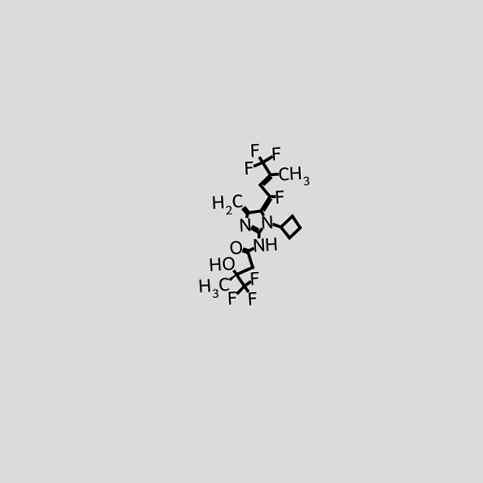 C=c1nc(NC(=O)C[C@@](C)(O)C(F)(F)F)n(C2CCC2)/c1=C(F)/C=C(\C)C(F)(F)F